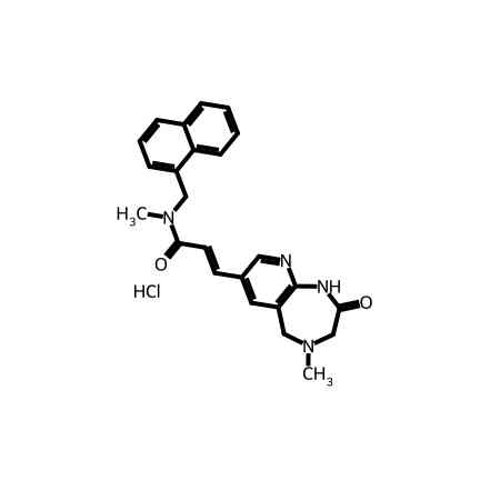 CN1CC(=O)Nc2ncc(/C=C/C(=O)N(C)Cc3cccc4ccccc34)cc2C1.Cl